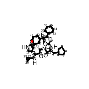 O=C(N[C@@H](CC1CCCCC1)C(=O)N[C@@H](C[C@@H]1CCNC1=O)C(=O)C(=O)NC1CC1)O[C@H](c1ccccc1)C(F)(F)c1cccc(F)c1